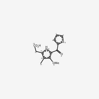 COc1c(C(=O)c2cccs2)[nH]c(CC(=O)O)c1C